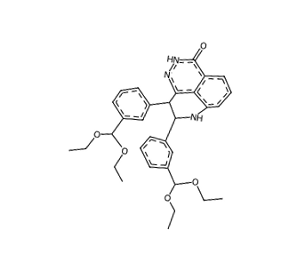 CCOC(OCC)c1cccc(C2Nc3cccc4c(=O)[nH]nc(c34)C2c2cccc(C(OCC)OCC)c2)c1